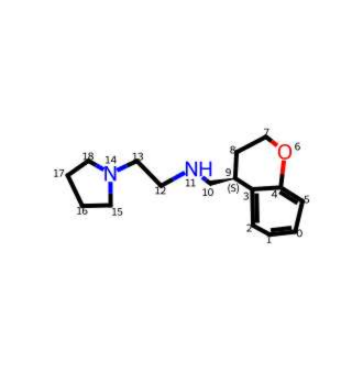 c1ccc2c(c1)OCC[C@@H]2CNCCN1CCCC1